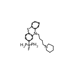 FC(P)(P)c1ccc2c(c1)N(CCCCN1CCCCC1)c1ccccc1S2